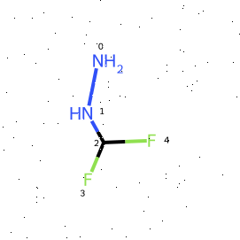 NNC(F)F